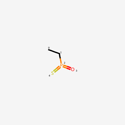 CCP(=O)=S